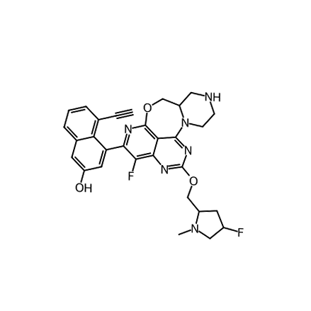 C#Cc1cccc2cc(O)cc(-c3nc4c5c(nc(OCC6CC(F)CN6C)nc5c3F)N3CCNCC3CO4)c12